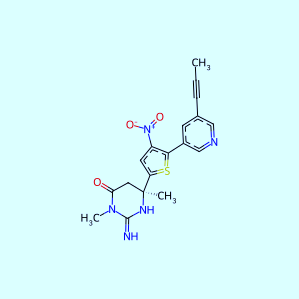 CC#Cc1cncc(-c2sc([C@]3(C)CC(=O)N(C)C(=N)N3)cc2[N+](=O)[O-])c1